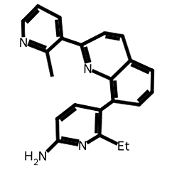 CCc1nc(N)ccc1-c1cccc2ccc(-c3cccnc3C)nc12